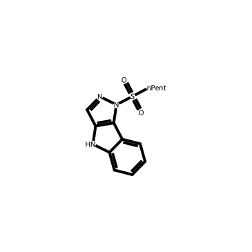 CCCCCS(=O)(=O)n1ncc2[nH]c3ccccc3c21